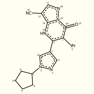 CC(C)c1c(-c2cnn(C3CCCC3)c2)[nH]c2c(C#N)cnn2c1=O